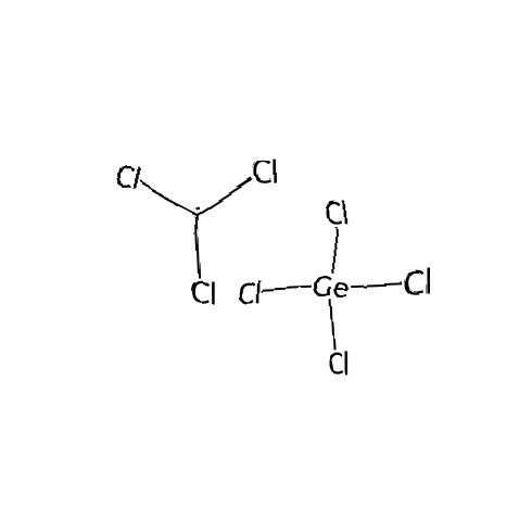 Cl[C](Cl)Cl.[Cl][Ge]([Cl])([Cl])[Cl]